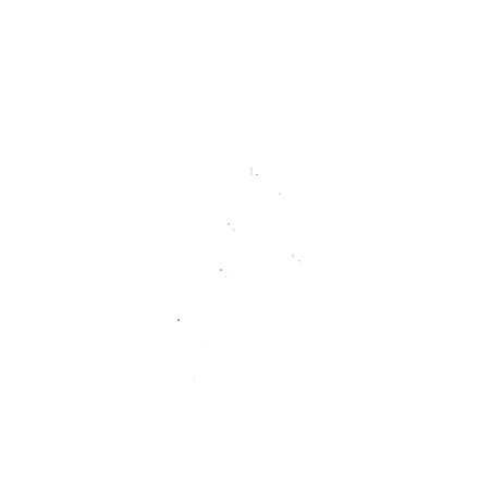 C=C(NCc1ccc(F)cc1-n1cncn1)c1nc2n(c(=O)c1O)CCOCC2(C)C